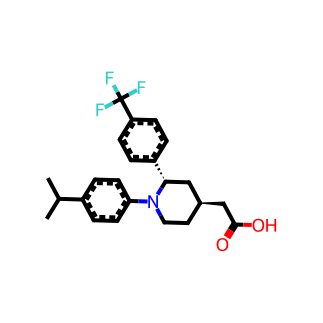 CC(C)c1ccc(N2CC[C@H](CC(=O)O)C[C@H]2c2ccc(C(F)(F)F)cc2)cc1